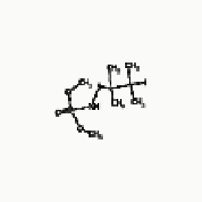 COP(=O)(NSC(C)(C)C(C)(C)I)OC